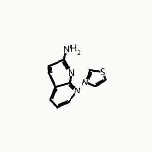 Nc1ccc2cccnc2n1.c1cscn1